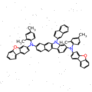 Cc1ccc(N(c2ccc3cc4c5ccc(N(c6ccc7c(c6)oc6ccccc67)c6ccc(C)cc6C)cc5n(-c5ccc6ccccc6c5)c4cc3c2)c2ccc3c(c2)oc2ccccc23)c(C)c1